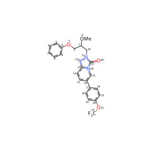 COC(COc1ccccc1)Cn1nc2ccc(-c3ccc(OC(F)(F)F)cc3)cn2c1=O